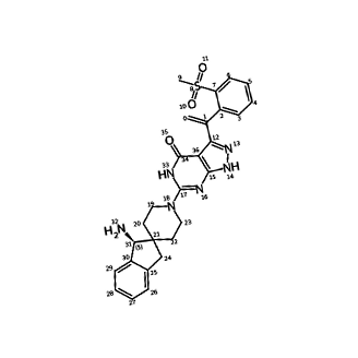 C=C(c1ccccc1S(C)(=O)=O)c1n[nH]c2nc(N3CCC4(CC3)Cc3ccccc3[C@H]4N)[nH]c(=O)c12